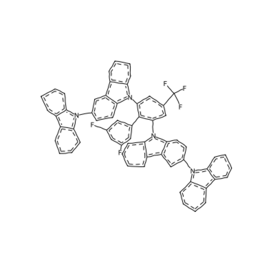 Fc1cc(F)cc(-c2c(-n3c4ccccc4c4cc(-n5c6ccccc6c6ccccc65)ccc43)cc(C(F)(F)F)cc2-n2c3ccccc3c3cc(-n4c5ccccc5c5ccccc54)ccc32)c1